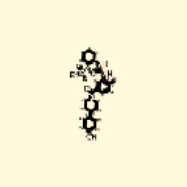 CCS(=O)(=O)N[C@@H]1CCCC[C@@H]1NC(=O)Nc1cc(C(=O)N2CCC(c3ccc(C#N)cc3)CC2)ccc1C